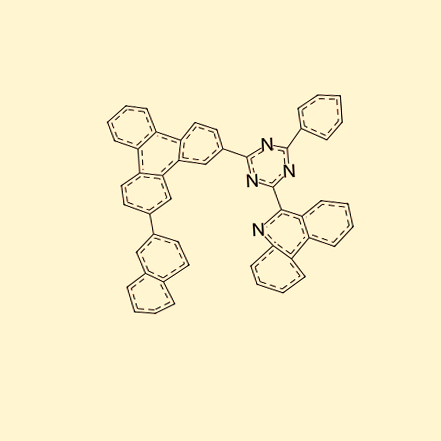 c1ccc(-c2nc(-c3ccc4c5ccccc5c5ccc(-c6ccc7ccccc7c6)cc5c4c3)nc(-c3nc4ccccc4c4ccccc34)n2)cc1